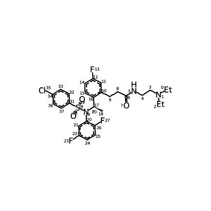 CCN(CC)CCNC(=O)CCc1cc(F)ccc1[C@@H](C)N(c1cc(F)ccc1F)S(=O)(=O)c1ccc(Cl)cc1